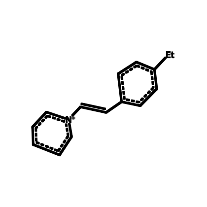 CCc1ccc(C=C[n+]2ccccc2)cc1